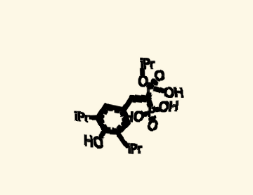 CC(C)OP(=O)(O)C(=Cc1cc(C(C)C)c(O)c(C(C)C)c1)P(=O)(O)O